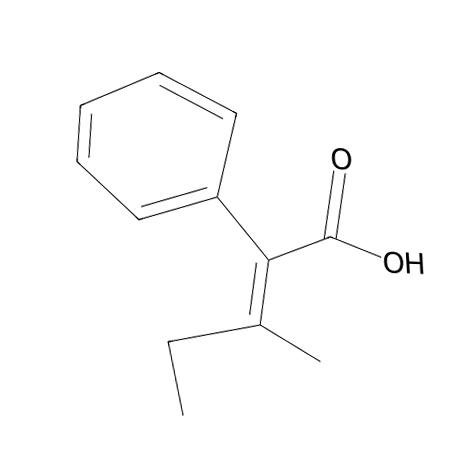 CCC(C)=C(C(=O)O)c1ccccc1